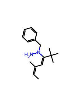 C/C=C(C)\C=C(/N(N)Cc1ccccc1)C(C)(C)C